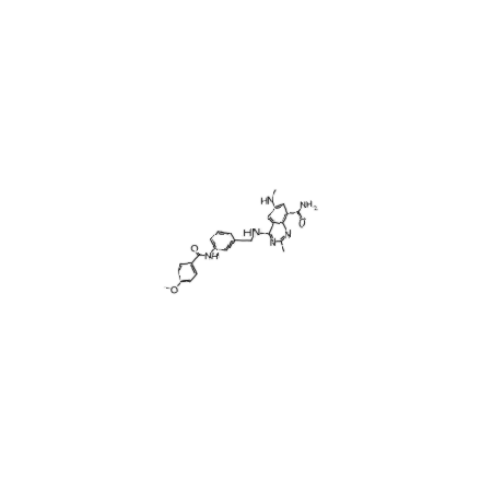 CNc1cc(C(N)=O)c2nc(C)nc(NCc3cccc(NC(=O)c4ccc(OC)cc4)c3)c2c1